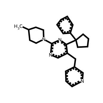 CC1CCN(c2ncc(Cc3cccnc3)c(C3(c4ccccc4)CCCC3)n2)CC1